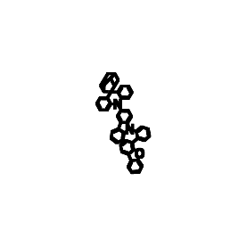 c1ccc(-n2c3ccccc3c3cc(N4c5ccccc5C5(c6ccccc64)C4CC6CC(C4)CC5C6)ccc32)c(-c2cccc3c2oc2ccccc23)c1